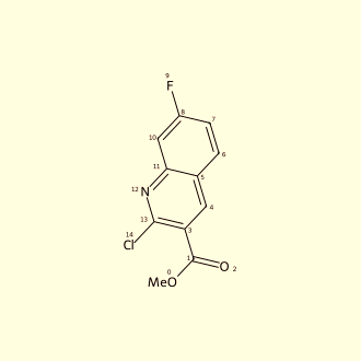 COC(=O)c1cc2ccc(F)cc2nc1Cl